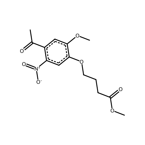 COC(=O)CCCOc1cc([N+](=O)[O-])c(C(C)=O)cc1OC